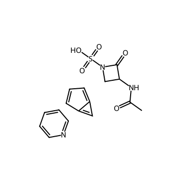 CC(=O)NC1CN(S(=O)(=O)O)C1=O.c1cc2cc-2c1.c1ccncc1